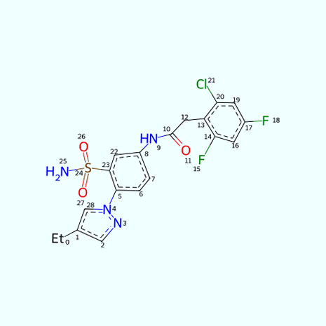 CCc1cnn(-c2ccc(NC(=O)Cc3c(F)cc(F)cc3Cl)cc2S(N)(=O)=O)c1